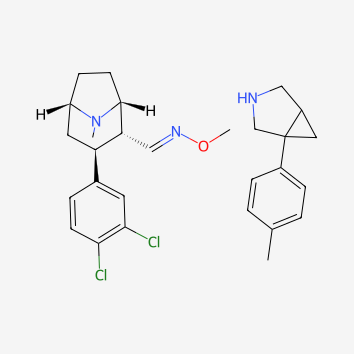 CO/N=C/[C@@H]1[C@@H](c2ccc(Cl)c(Cl)c2)C[C@@H]2CC[C@H]1N2C.Cc1ccc(C23CNCC2C3)cc1